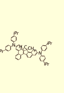 CC(C)c1ccc(N(c2ccc(C(C)C)cc2)c2ccc3c4c(ccc3c2)-c2c(c3ccc(N(c5ccc(C(C)C)cc5)c5ccc(C(C)C)cc5)cc3c3ccccc23)C4(C)C)cc1